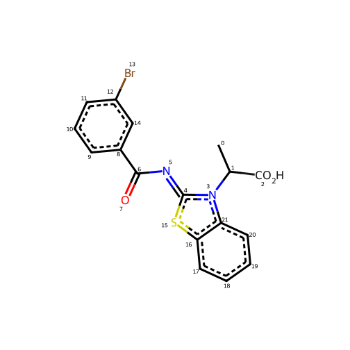 CC(C(=O)O)n1c(=NC(=O)c2cccc(Br)c2)sc2ccccc21